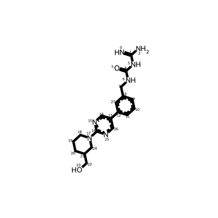 N=C(N)NC(=O)NCc1cccc(-c2cnc(N3CCCC(CO)C3)nc2)c1